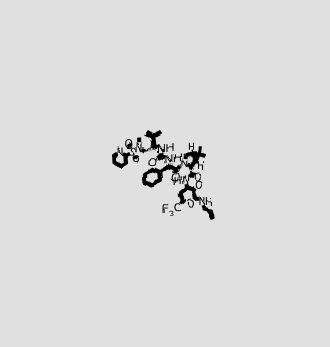 C=CCNC(=O)C(=O)C(CCC(F)(F)F)NC(=O)[C@@H]1[C@@H]2[C@H](CN1C(=O)[C@@H](NC(=O)N[C@H](CN(C)S(=O)(=O)c1ccccn1)C(=C)C)C1CCCCC1)C2(C)C